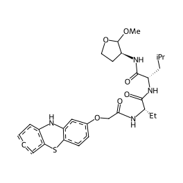 CC[C@H](NC(=O)COc1ccc2c(c1)Nc1ccccc1S2)C(=O)N[C@@H](CC(C)C)C(=O)N[C@H]1CCOC1OC